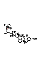 C=C/C(=C\C=C(/CC)Nc1cc(-c2cccc(-n3ncc4cc(C(C)(C)C)cc(F)c4c3=O)c2CO)nn(C)c1=O)CN1C[C@H]2CC[C@@H](C1)N2C